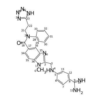 Cn1c(CNc2ccc(C(=N)N)cc2)nc2cc(C(=O)N(CCc3nnn[nH]3)c3ccccc3)ccc21